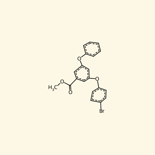 COC(=O)c1cc(Oc2ccccc2)cc(Oc2ccc(Br)cc2)c1